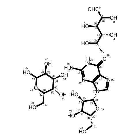 C[C@H](O)[C@@H](O)[C@@H](O)[C@H](O)C=O.Nc1nc2c(ncn2[C@@H]2O[C@H](CO)[C@@H](O)[C@H]2O)c(=O)[nH]1.OC[C@H]1OC(O)[C@@H](O)[C@@H](O)[C@@H]1O